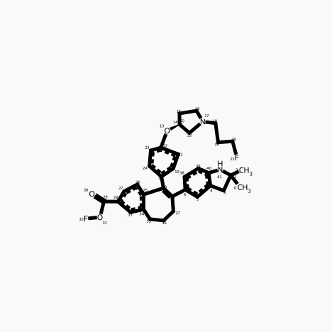 CC1(C)Cc2cc(C3=C(c4ccc(O[C@H]5CCN(CCCF)C5)cc4)c4ccc(C(=O)OF)cc4CCC3)ccc2N1